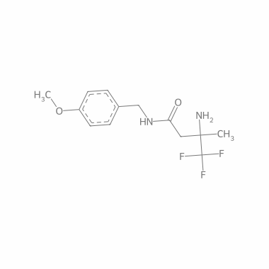 COc1ccc(CNC(=O)CC(C)(N)C(F)(F)F)cc1